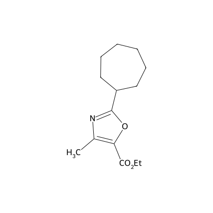 CCOC(=O)c1oc(C2CCCCCC2)nc1C